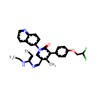 CC/C=C(/N=C\c1cn(-c2ccc3ncccc3c2)c(=O)c(-c2ccc(OCC(F)F)cc2)c1C)NCC(F)(F)F